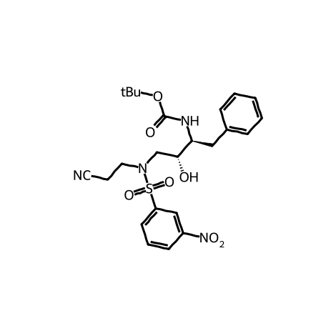 CC(C)(C)OC(=O)N[C@@H](Cc1ccccc1)[C@H](O)CN(CCC#N)S(=O)(=O)c1cccc([N+](=O)[O-])c1